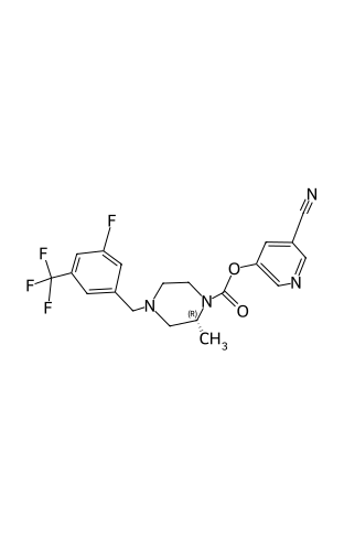 C[C@@H]1CN(Cc2cc(F)cc(C(F)(F)F)c2)CCN1C(=O)Oc1cncc(C#N)c1